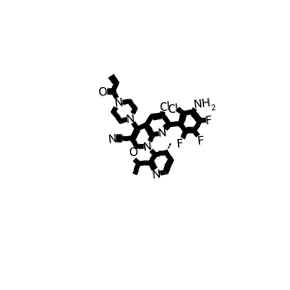 C=CC(=O)N1CCN(c2c(C#N)c(=O)n(C3C(C(C)C)=NC=C[C@H]3C)c3nc(-c4c(F)c(F)c(F)c(N)c4Cl)c(Cl)cc23)CC1